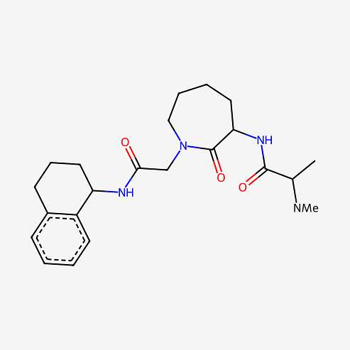 CNC(C)C(=O)NC1CCCCN(CC(=O)NC2CCCc3ccccc32)C1=O